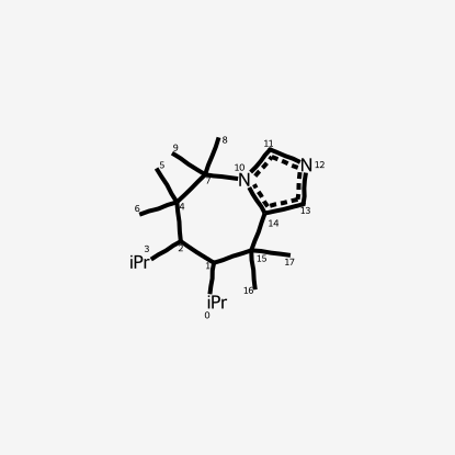 CC(C)C1C(C(C)C)C(C)(C)C(C)(C)n2cncc2C1(C)C